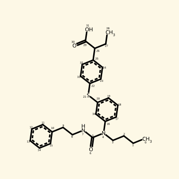 CCCCN(C(=O)NCCc1ccccc1)c1cccc(Sc2ccc(C(CC)C(=O)O)cc2)c1